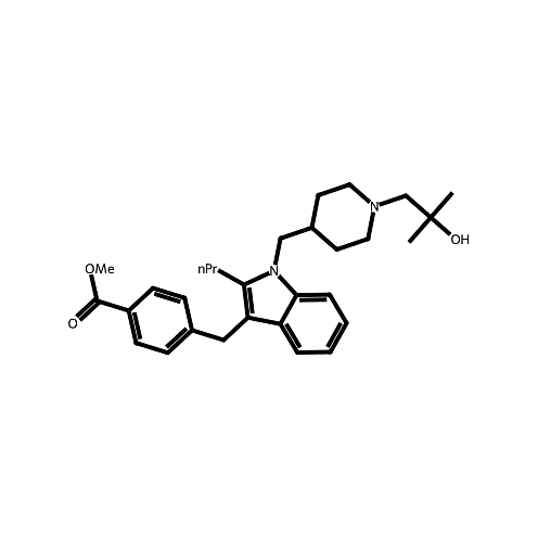 CCCc1c(Cc2ccc(C(=O)OC)cc2)c2ccccc2n1CC1CCN(CC(C)(C)O)CC1